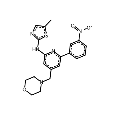 Cc1cnc(Nc2cc(CN3CCOCC3)cc(-c3cccc([N+](=O)[O-])c3)n2)s1